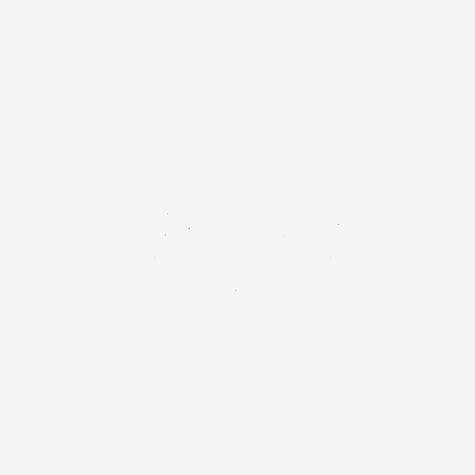 BC1(C)CCC2C3CC(C)C4(C)NC(=O)CC[C@]4(C)C3C(O)C[C@@]21C